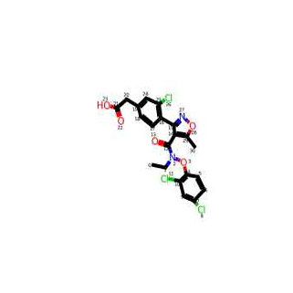 CCN(Oc1ccc(Cl)cc1Cl)C(=O)c1c(-c2ccc(CC(=O)O)cc2Cl)noc1C